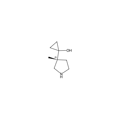 C[C@@]1(C2(O)CC2)CCNC1